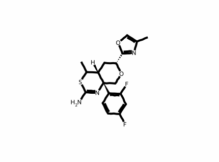 Cc1coc([C@H]2C[C@H]3C(C)SC(N)=N[C@@]3(c3ccc(F)cc3F)CO2)n1